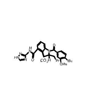 COc1cc(C(=O)N2c3cccc(C(=O)Nc4nc[nH]n4)c3CC2(CC(C)C)C(=O)O)ccc1C(C)(C)C